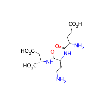 NCC[C@H](NC(=O)[C@@H](N)CCC(=O)O)C(=O)N[C@@H](CC(=O)O)C(=O)O